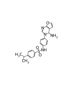 CC(C)c1ccc(S(=O)(=O)Nc2ccc(N3C=Nc4occc4C3N)cc2)cc1